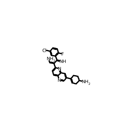 N=C(/C(=C\N)c1ccc2ncc(C3=CCC(N)CC3)cc2n1)c1cc(Cl)ccc1F